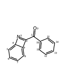 O=C(C1=Nc2ccccc21)c1ccccc1